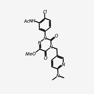 COc1nn(-c2ccc(Cl)c(NC(C)=O)c2)c(=O)n(Cc2ccc(N(C)C)nc2)c1=O